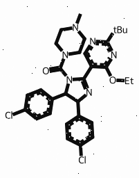 CCOc1nc(C(C)(C)C)ncc1C1=NC(c2ccc(Cl)cc2)C(c2ccc(Cl)cc2)N1C(=O)N1CCN(C)CC1